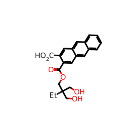 CCC(CO)(CO)COC(=O)c1cc2cc3ccccc3cc2cc1C(=O)O